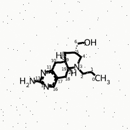 CCCN1C[C@@H](CO)C[C@@H]2Cc3nc(N)ncc3C[C@H]21